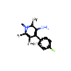 CCCCCC1=C(C(C)C)N(C)C(C(C)C)C(N)=C1c1ccc(F)cc1